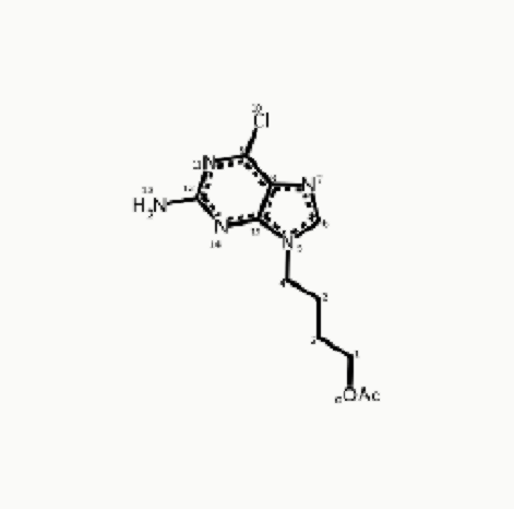 CC(=O)OCCCCn1cnc2c(Cl)nc(N)nc21